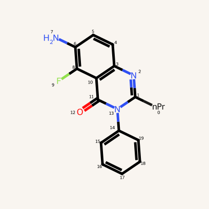 CCCc1nc2ccc(N)c(F)c2c(=O)n1-c1ccccc1